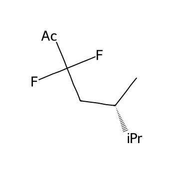 CC(=O)C(F)(F)C[C@H](C)C(C)C